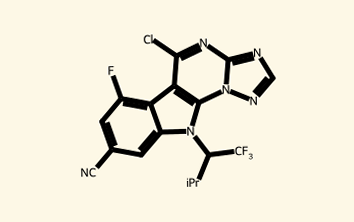 CC(C)C(n1c2cc(C#N)cc(F)c2c2c(Cl)nc3ncnn3c21)C(F)(F)F